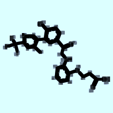 Cc1cc(C(F)(F)F)ncc1-c1cc(C(=O)CNc2ccccc2OCCC(=O)O)ccc1Cl